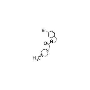 CN1CCN(CC(=O)N2CCc3ccc(Br)cc32)CC1